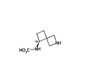 O=C(O)N[C@H]1CCC12CNC2